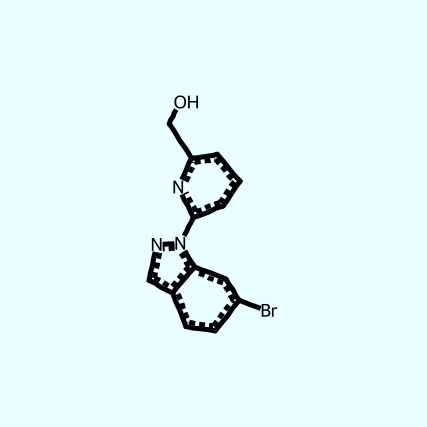 OCc1cccc(-n2ncc3ccc(Br)cc32)n1